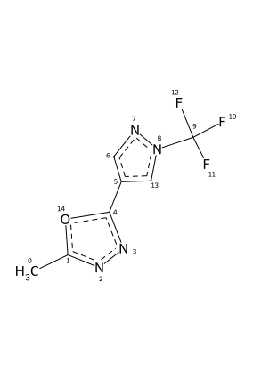 Cc1nnc(-c2cnn(C(F)(F)F)c2)o1